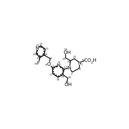 O=C(O)N1CCN(c2nc(OCc3ccncc3F)ccc2CO)C(CO)C1